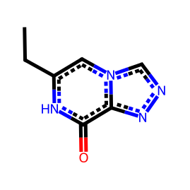 CCc1cn2cnnc2c(=O)[nH]1